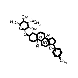 CO[C@@H]1[C@@H](O)[C@H](OC2CC[C@@]3(C)C(CC[C@@H]4[C@H]3CC[C@]3(C)C(c5ccc(C)cc5)CC[C@@]43O)C2)O[C@H](C)[C@H]1O